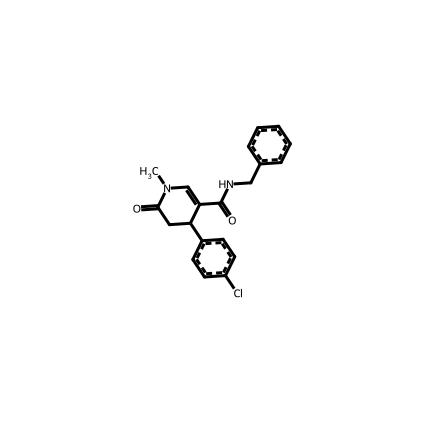 CN1C=C(C(=O)NCc2ccccc2)C(c2ccc(Cl)cc2)CC1=O